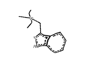 C[N+](C)(C)Cc1n[nH]c2ccccc12